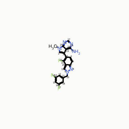 Cn1cc(-c2ccc3nn(Cc4cc(F)cc(F)c4)cc3c2F)c2c(N)ncnc21